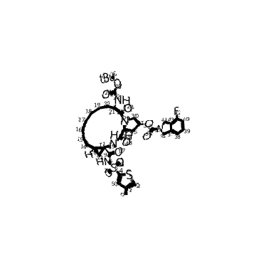 Cc1csc(S(=O)(=O)NC(=O)[C@@]23C[C@H]2CCCCCCC[C@H](NC(=O)OC(C)(C)C)C(=O)N2C[C@H](OC(=O)N4Cc5cccc(F)c5C4)C[C@H]2C(=O)N3)c1